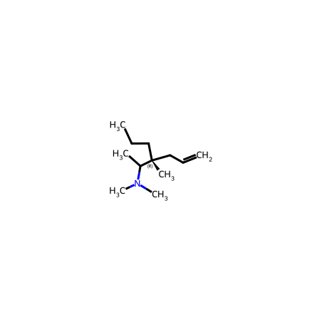 C=CC[C@@](C)(CCC)C(C)N(C)C